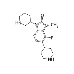 Cn1c(=O)n(C2CCCNC2)c2ccc(C3CCNCC3)c(F)c21